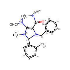 CCCN(C)C(=O)C1=C(NC=O)N(C)C(c2ccccc2C(F)(F)F)N1Cc1ccccc1